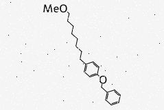 COCCCCCCCCc1ccc(OCc2ccccc2)cc1